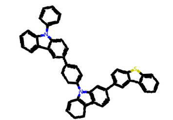 C1=Cc2c(c3ccc(-c4ccc5sc6ccccc6c5c4)cc3n2C2=CC=C(c3ccc4c(c3)c3ccccc3n4-c3ccccc3)CC2)CC1